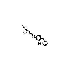 CCOC(=O)CCCOc1ccc(Cc2ncc[nH]2)cc1